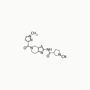 Cn1ccc(C(=O)N2CCc3nc(NC(=O)C4CCN(C#N)C4)sc3C2)n1